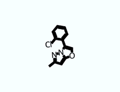 Cc1cc2occ(-c3ccccc3Cl)n2n1